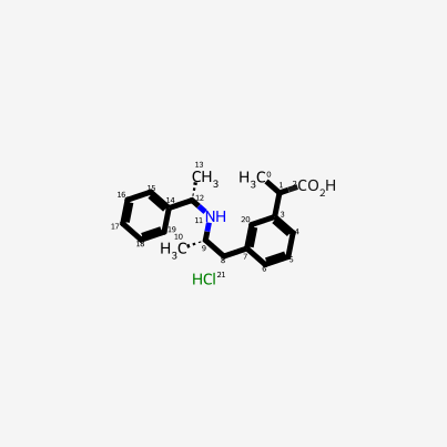 CC(C(=O)O)c1cccc(C[C@H](C)N[C@@H](C)c2ccccc2)c1.Cl